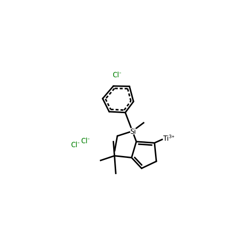 CC[Si](C)(C1=[C]([Ti+3])CC=C1C(C)(C)C)c1ccccc1.[Cl-].[Cl-].[Cl-]